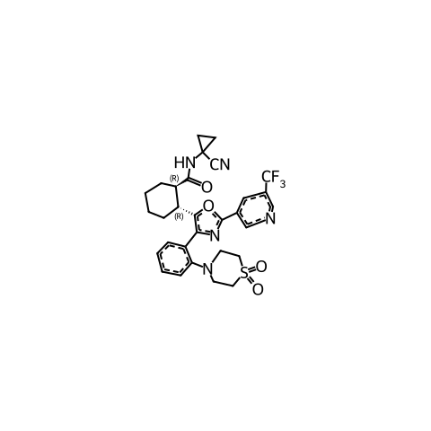 N#CC1(NC(=O)[C@@H]2CCCC[C@H]2c2oc(-c3cncc(C(F)(F)F)c3)nc2-c2ccccc2N2CCS(=O)(=O)CC2)CC1